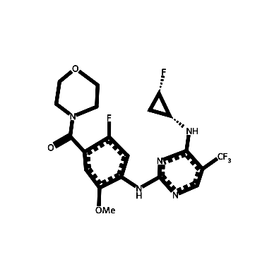 COc1cc(C(=O)N2CCOCC2)c(F)cc1Nc1ncc(C(F)(F)F)c(N[C@@H]2C[C@@H]2F)n1